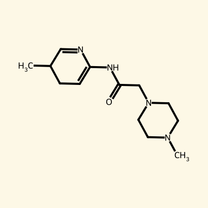 CC1C=NC(NC(=O)CN2CCN(C)CC2)=CC1